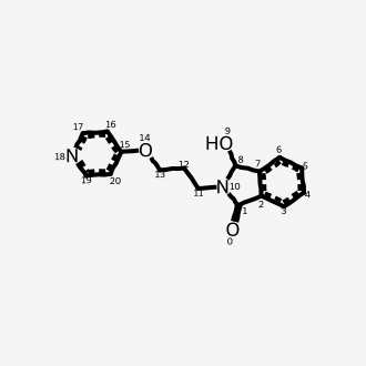 O=C1c2ccccc2C(O)N1CCCOc1ccncc1